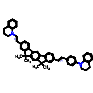 CC1(C)c2cc(/C=C/c3ccc(N4CCCc5ccccc54)cc3)ccc2-c2cc3c(cc21)C(C)(C)c1cc(/C=C/N2CCCc4ccccc42)ccc1-3